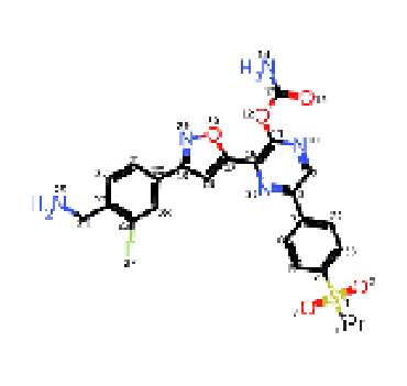 CC(C)S(=O)(=O)c1ccc(-c2cnc(OC(N)=O)c(-c3cc(-c4ccc(CN)c(F)c4)no3)n2)cc1